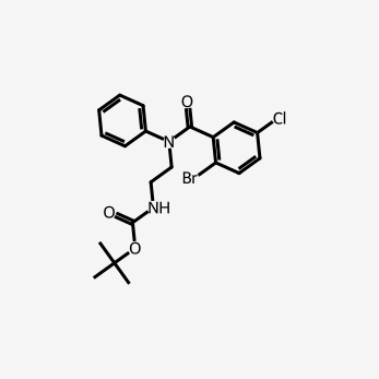 CC(C)(C)OC(=O)NCCN(C(=O)c1cc(Cl)ccc1Br)c1ccccc1